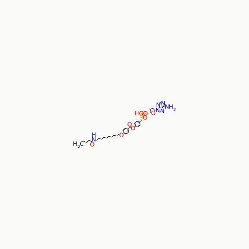 C=CCCC(=O)NCCCCCCCCCCOc1ccc(C(=O)Oc2ccc(CSP(=O)(O)OC[C@@H]3CC[C@H](n4cnc5c(N)ncnc54)O3)cc2)cc1